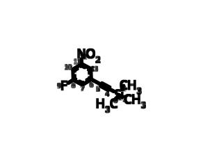 C[Si](C)(C)C#Cc1cc(F)cc([N+](=O)[O-])c1